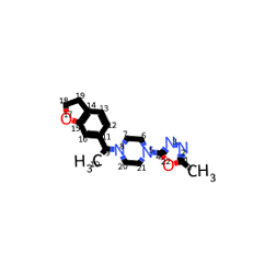 Cc1nnc(N2CCN(C(C)c3ccc4c(c3)OCC4)CC2)o1